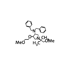 COCCO[C@@H]1CN(C(C)(C)COC)C[C@H]1N(Cc1ccccc1)Cc1ccccc1